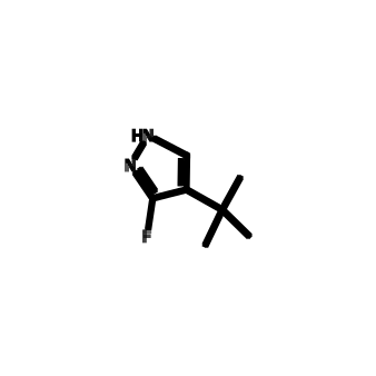 CC(C)(C)c1c[nH]nc1F